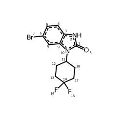 O=c1[nH]c2ccc(Br)cc2n1C1CCC(F)(F)CC1